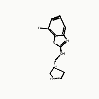 Fc1cccc2nc(NC[C@@H]3CCNC3)oc12